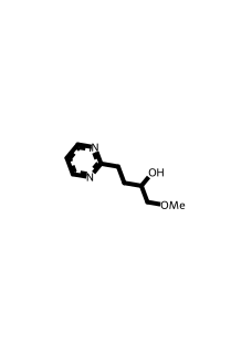 COCC(O)CCc1ncccn1